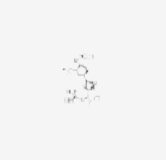 CCCCCCCCOc1ccc(-c2noc(C3C(O)CCN3C(=N)N)n2)cc1C(F)(F)F